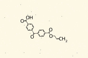 C=CCOC(=O)c1ccc(C(=O)c2ccc(C(=O)O)cc2)cc1